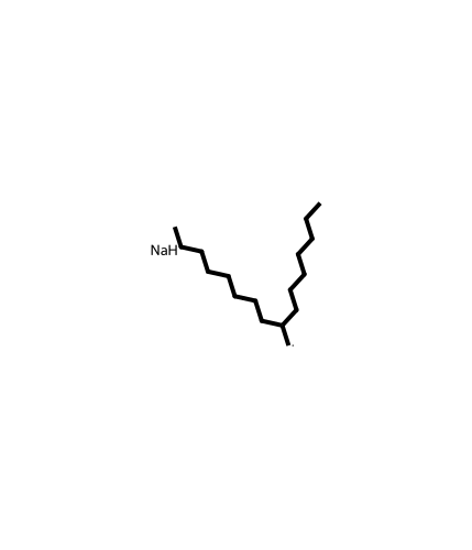 [CH2]C(CCCCCCC)CCCCCCCC.[NaH]